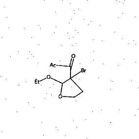 CCOC1OCCC1(Br)C(=O)C(C)=O